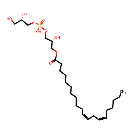 CCCCC/C=C\C/C=C\CCCCCCCCCC(=O)OC[C@@H](O)COP(=O)(O)OC[C@@H](O)CO